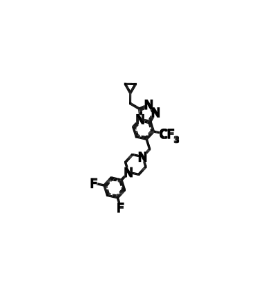 Fc1cc(F)cc(N2CCN(Cc3ccn4c(CC5CC5)nnc4c3C(F)(F)F)CC2)c1